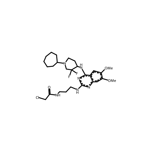 COc1cc2nc(NCCCNC(=O)CCl)nc(NC3CCN(C4CCCCCC4)CC3(F)F)c2cc1OC